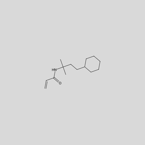 C=CC(=O)NC(C)(C)CCC1CCCCC1